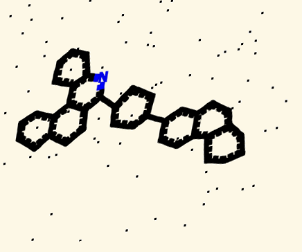 c1ccc2c(c1)ccc1cc(-c3ccc(-c4nc5ccccc5c5c4ccc4ccccc45)cc3)ccc12